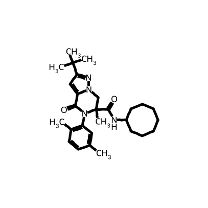 Cc1ccc(C)c(N2C(=O)c3cc(C(C)(C)C)nn3CC2(C)C(=O)NC2CCCCCCC2)c1